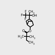 CCC(C)(C)C(=O)OC1CC2CC1CC2C(C)(O)C(F)(F)F